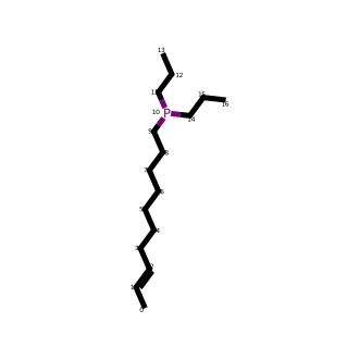 CC=CCCCCCCCP(CCC)CCC